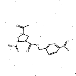 CC(=O)[C@@H]1C[C@@H](C(O)=S)N(C(=O)OCc2ccc([N+](=O)[O-])cc2)C1